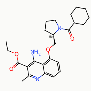 CCOC(=O)c1c(C)nc2cccc(OC[C@H]3CCCN3C(=O)C3CCCCC3)c2c1N